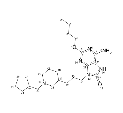 CCCCOc1nc(N)c2[nH]c(=O)n(CCCC3CCCN(CC4CCCC4)C3)c2n1